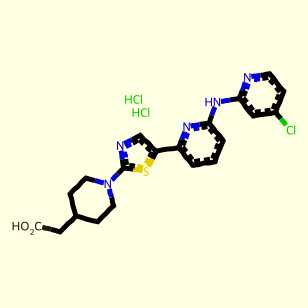 Cl.Cl.O=C(O)CC1CCN(c2ncc(-c3cccc(Nc4cc(Cl)ccn4)n3)s2)CC1